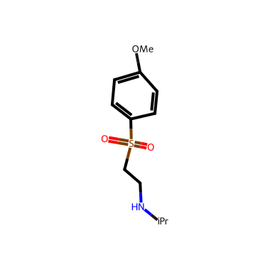 COc1ccc(S(=O)(=O)CCNC(C)C)cc1